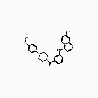 O=C(c1cccc(Nc2ccnc3cc(C(F)(F)F)ccc23)c1)N1CCN(c2ccc(OC(F)(F)F)cc2)CC1